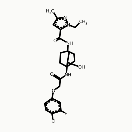 CCn1nc(C)cc1C(=O)NC12CCC(NC(=O)COc3ccc(Cl)c(F)c3)(CC1)C(O)C2